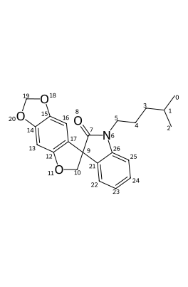 CC(C)CCCN1C(=O)C2(COc3cc4c(cc32)OCO4)c2ccccc21